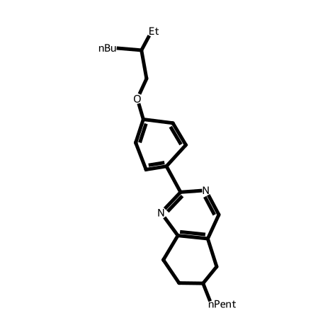 CCCCCC1CCc2nc(-c3ccc(OCC(CC)CCCC)cc3)ncc2C1